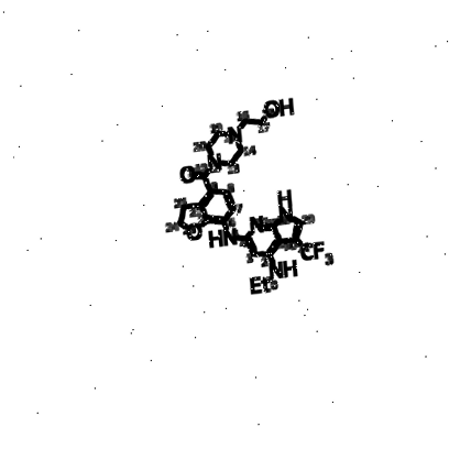 CCNc1cc(Nc2ccc(C(=O)N3CCN(CCO)CC3)c3c2OCC3)nc2[nH]cc(C(F)(F)F)c12